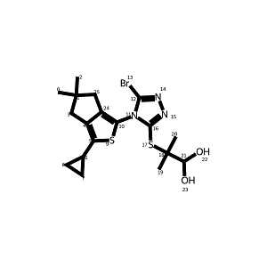 CC1(C)Cc2c(C3CC3)sc(-n3c(Br)nnc3SC(C)(C)C(O)O)c2C1